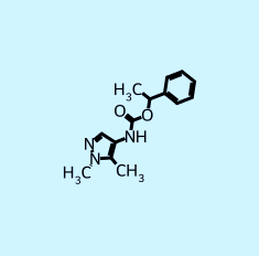 Cc1c(NC(=O)OC(C)c2ccccc2)cnn1C